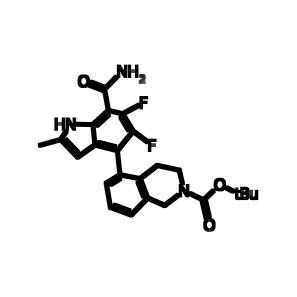 Cc1cc2c(-c3cccc4c3CCN(C(=O)OC(C)(C)C)C4)c(F)c(F)c(C(N)=O)c2[nH]1